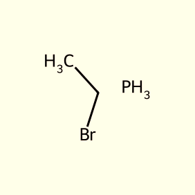 CCBr.P